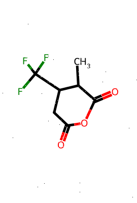 CC1C(=O)OC(=O)CC1C(F)(F)F